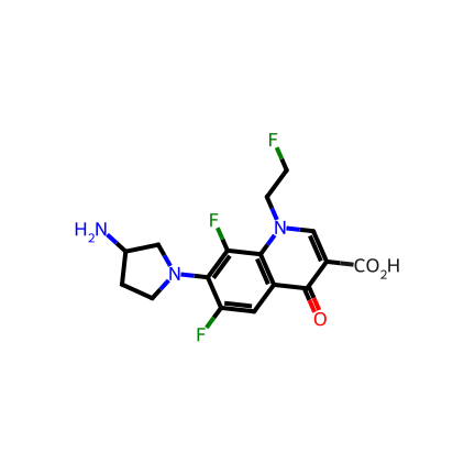 NC1CCN(c2c(F)cc3c(=O)c(C(=O)O)cn(CCF)c3c2F)C1